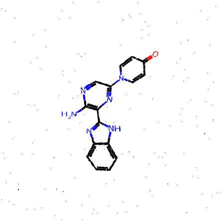 Nc1ncc(-n2ccc(=O)cc2)nc1-c1nc2ccccc2[nH]1